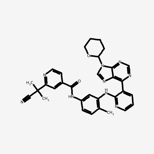 Cc1ccc(NC(=O)c2ccnc(C(C)(C)C#N)c2)cc1Nc1ncccc1-c1ncnc2c1ncn2C1CCCCO1